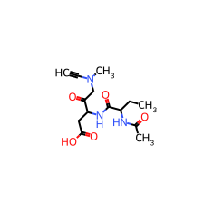 C#CN(C)CC(=O)C(CC(=O)O)NC(=O)C(CC)NC(C)=O